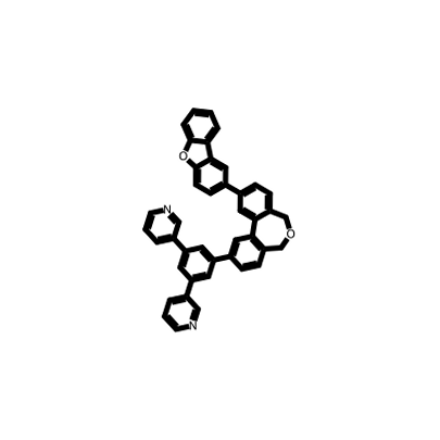 c1cncc(-c2cc(-c3cccnc3)cc(-c3ccc4c(c3)-c3cc(-c5ccc6oc7ccccc7c6c5)ccc3COC4)c2)c1